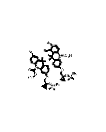 CC(C)(C)OC(=O)N1c2cc(OCC3(O[Si](C)(C)C(C)(C)C)CC3)ccc2C(C)(C)c2cc(Br)ccc21.CC(C)(C)c1c(Br)ccc2c1C(C)(C)c1ccc(OCC3(O[Si](C)(C)C(C)(C)C)CC3)cc1N2C(=O)O